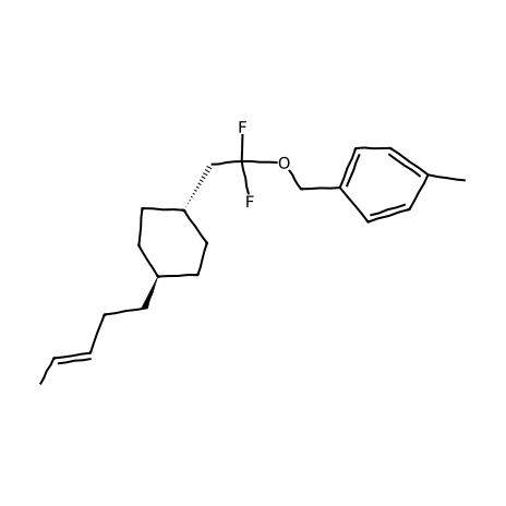 CC=CCC[C@H]1CC[C@H](CC(F)(F)OCc2ccc(C)cc2)CC1